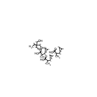 CC(CN1CC1)C(=O)O.CC(CN1CC1)C(=O)O.CC(CN1CC1)C(=O)O.CCC(CO)(CO)CO